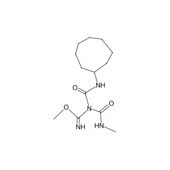 CNC(=O)N(C(=N)OC)C(=O)NC1CCCCCCC1